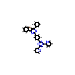 c1ccc(-c2nc(-c3ccc(-c4nc(-c5ccccn5)nc(-c5ccccn5)n4)cc3)nc3c2sc2ccccc23)cc1